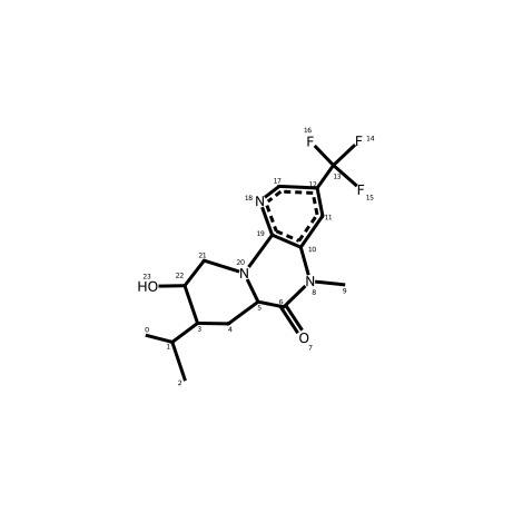 CC(C)C1CC2C(=O)N(C)c3cc(C(F)(F)F)cnc3N2CC1O